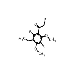 CCc1c(F)c(C(=O)CF)c(OC)c(F)c1OC